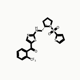 O=C(c1cnc(NC[C@@H]2CCCN2S(=O)(=O)c2cccs2)s1)c1ccccc1C(F)(F)F